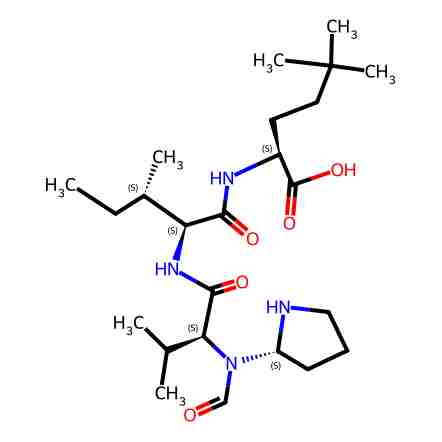 CC[C@H](C)[C@H](NC(=O)[C@H](C(C)C)N(C=O)[C@H]1CCCN1)C(=O)N[C@@H](CCC(C)(C)C)C(=O)O